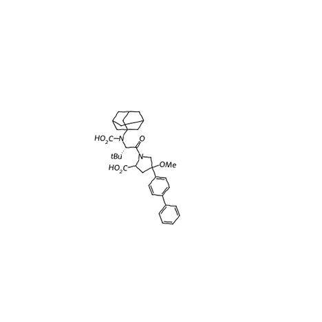 COC1(c2ccc(-c3ccccc3)cc2)CC(C(=O)O)N(C(=O)[C@@H](N(C(=O)O)C23CC4CC(CC(C4)C2)C3)C(C)(C)C)C1